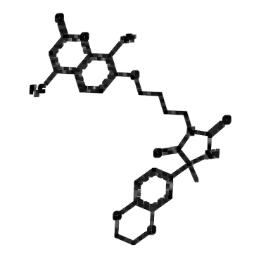 CCCc1c(OCCCCN2C(=O)NC(C)(c3ccc4c(c3)OCCO4)C2=O)ccc2c(C(F)(F)F)cc(=O)oc12